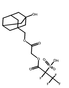 O=C(COC(=O)C(F)(C(F)(F)F)S(=O)(=O)O)OCC12CC3CC(CC(O)(C3)C1)C2